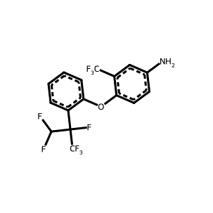 Nc1ccc(Oc2ccccc2C(F)(C(F)F)C(F)(F)F)c(C(F)(F)F)c1